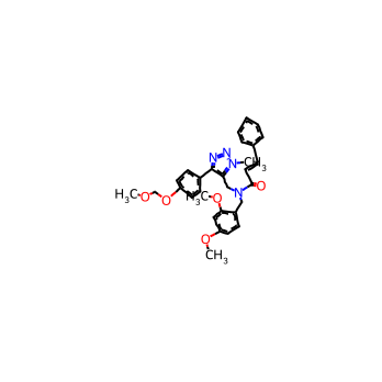 COCOc1ccc(-c2nnn(C)c2CN(Cc2ccc(OC)cc2OC)C(=O)C=Cc2ccccc2)cc1